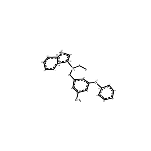 CCN(Cc1cc(N)cc(Oc2ccccc2)c1)c1c[nH]c2ccccc12